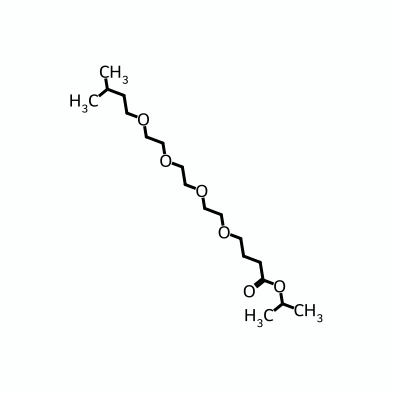 CC(C)CCOCCOCCOCCOCCCC(=O)OC(C)C